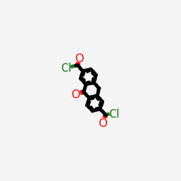 O=C(Cl)c1ccc2c(c1)Cc1ccc(C(=O)Cl)cc1C2=O